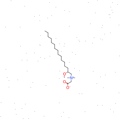 CCCCCCCCCCCCCCC(C[N+](C)(C)CC(=O)[O-])OC